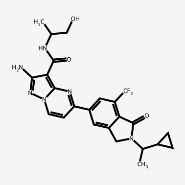 CC(CO)NC(=O)c1c(N)nn2ccc(-c3cc4c(c(C(F)(F)F)c3)C(=O)N(C(C)C3CC3)C4)nc12